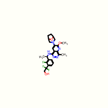 COc1nc2c(C)nnc(N[C@H](C)c3cccc(C(F)(F)CO)c3F)c2cc1N1CC2CCC(C1)O2